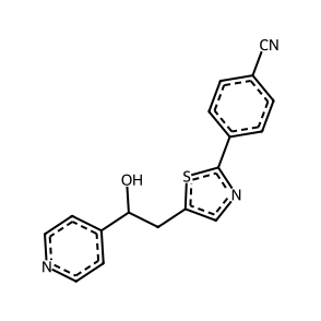 N#Cc1ccc(-c2ncc(CC(O)c3ccncc3)s2)cc1